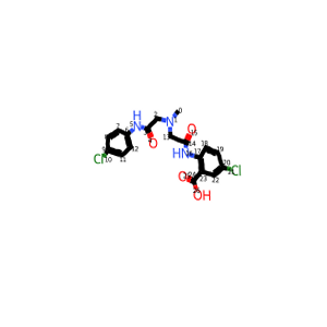 CN(CC(=O)Nc1ccc(Cl)cc1)CC(=O)Nc1ccc(Cl)cc1C(=O)O